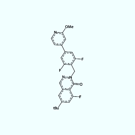 COc1cc(-c2cc(F)c(Cn3ncc4cc(C(C)(C)C)cc(F)c4c3=O)c(F)c2)ccn1